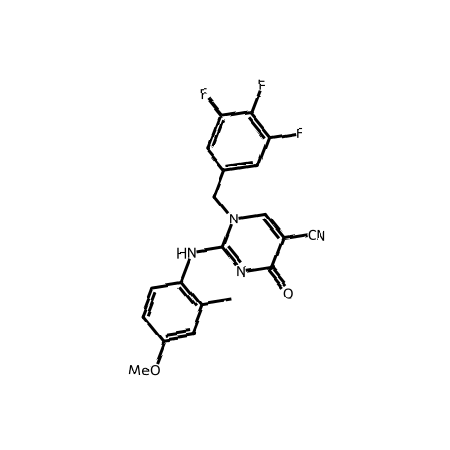 COc1ccc(Nc2nc(=O)c(C#N)cn2Cc2cc(F)c(F)c(F)c2)c(C)c1